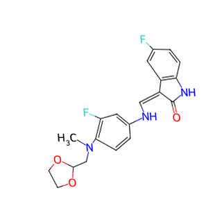 CN(CC1OCCO1)c1ccc(NC=C2C(=O)Nc3ccc(F)cc32)cc1F